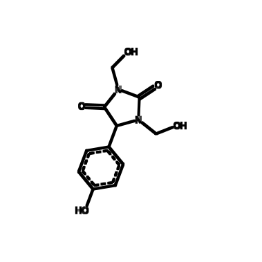 O=C1C(c2ccc(O)cc2)N(CO)C(=O)N1CO